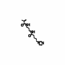 C=C(C)C(=O)NCCCNC(=O)CCCCn1ccnc1